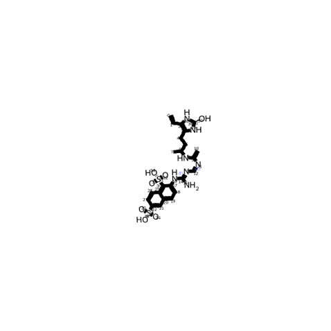 C=CC1=C(CCC(C)NC(=C)/N=C\N=C(/N)Nc2ccc3cc(S(=O)(=O)O)ccc3c2S(=O)(=O)O)N[C@@H](O)N1